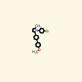 COc1ccc(-c2ccc(-c3ccc(C)n3-c3ccc(Br)cc3)cc2)cc1